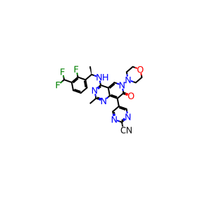 Cc1nc(N[C@H](C)c2cccc(C(F)F)c2F)c2cn(N3CCOCC3)c(=O)c(-c3cnc(C#N)nc3)c2n1